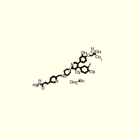 CC(C)(O)COc1ccc(-c2cnc(N3CCC(NCc4ccc(/C=C/C(=O)NO)cn4)CC3)c(C#N)c2-c2ccc(C#N)c(F)c2)cc1O.O=CO